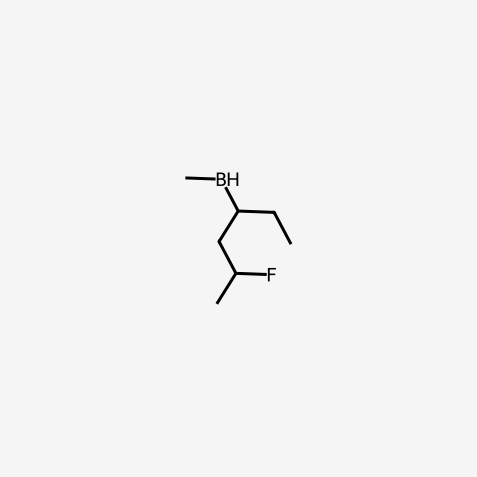 CBC(CC)CC(C)F